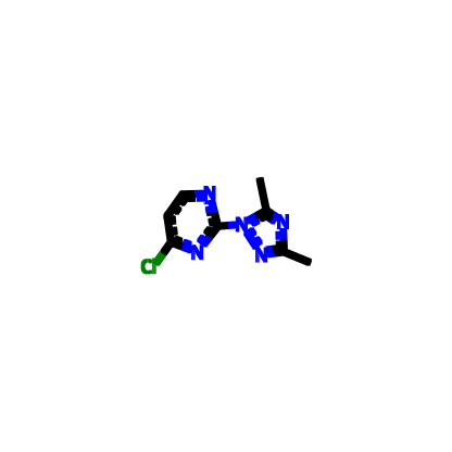 Cc1nc(C)n(-c2nccc(Cl)n2)n1